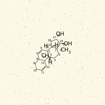 C[C@]12CC[C@H]3[C@@H](C=CC4CCC=C[C@@]43C)[C@@H]1C[C@H](O)[C@H]2O